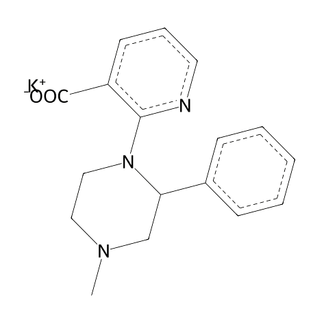 CN1CCN(c2ncccc2C(=O)[O-])C(c2ccccc2)C1.[K+]